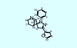 c1ccc(N2N=C(c3ccco3)CC23CN2CCC3CC2)cc1